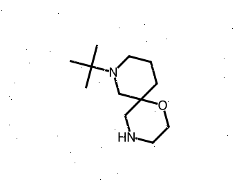 CC(C)(C)N1CCCC2(CNCCO2)C1